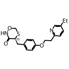 CCc1ccc(CCOc2ccc(C[C@@H]3SCONC3=O)cc2)nc1